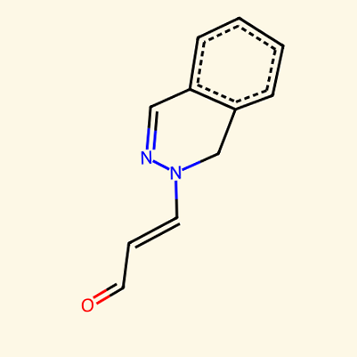 O=CC=CN1Cc2ccccc2C=N1